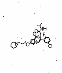 CC(C)NC(=O)Cn1c(-c2cc(Cl)ccc2F)cn2cc(OCCCN3CCCCC3)cc2c1=O